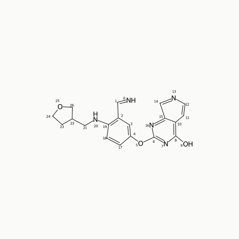 N=Cc1cc(Oc2nc(O)c3ccncc3n2)ccc1NCC1CCOC1